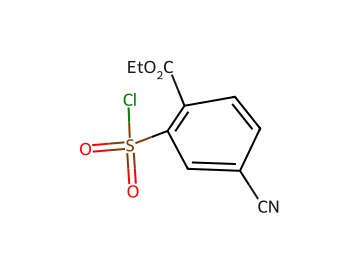 CCOC(=O)c1ccc(C#N)cc1S(=O)(=O)Cl